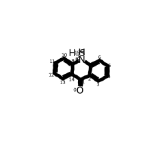 O=c1c2ccccc2[nH]c2ccccc12.S